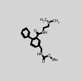 CN(C)CCNC(=O)c1cc(CNC(=O)OC(C)(C)C)ccc1-c1ccccc1